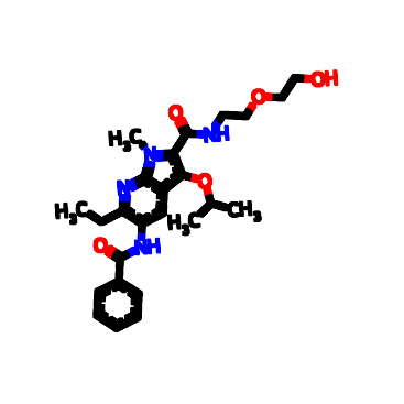 CCc1nc2c(cc1NC(=O)c1ccccc1)c(OC(C)C)c(C(=O)NCCOCCO)n2C